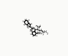 CN(C)C(CCN)c1nc(-c2cc3ccccc3o2)nc2cccc([N+](=O)[O-])c12